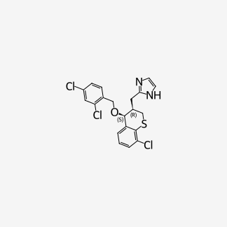 Clc1ccc(CO[C@@H]2c3cccc(Cl)c3SC[C@@H]2Cc2ncc[nH]2)c(Cl)c1